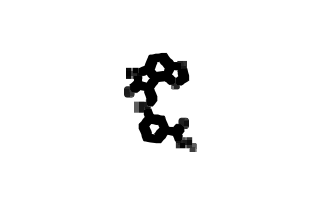 NC(=O)c1cccc(NC=C2C(=O)Nc3ccc4ncsc4c32)c1